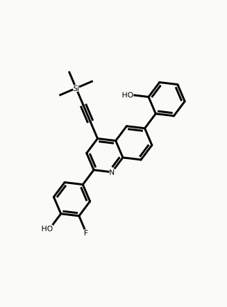 C[Si](C)(C)C#Cc1cc(-c2ccc(O)c(F)c2)nc2ccc(-c3ccccc3O)cc12